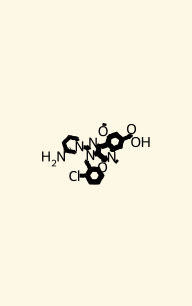 COc1cc(C(=O)O)cc2c1c1nc(N3CCC[C@@H](N)C3)n(Cc3ccccc3Cl)c1c(=O)n2C